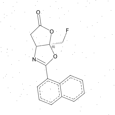 O=C1CC2N=C(c3cccc4ccccc34)O[C@]2(CF)O1